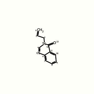 C=CCn1[c]nc2ccccc2c1=O